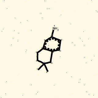 CC1(C)CCc2cc(N)ccc2C1